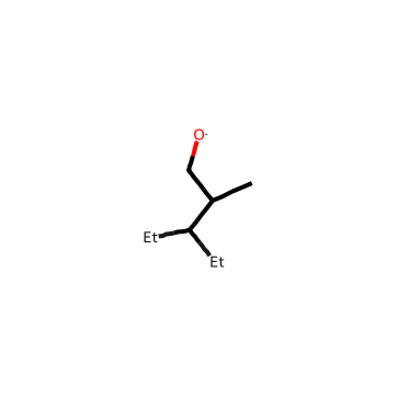 CCC(CC)C(C)C[O]